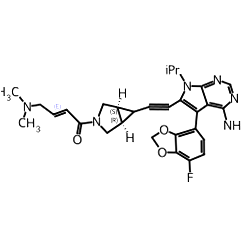 CC(C)n1c(C#CC2[C@H]3CN(C(=O)/C=C/CN(C)C)C[C@@H]23)c(-c2ccc(F)c3c2OCO3)c2c(N)ncnc21